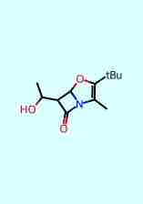 CC1=C(C(C)(C)C)OC2C(C(C)O)C(=O)N12